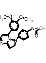 COc1ccc(C2=CC=NC3=CCN(c4ccc(NC(C)=O)cc4)N32)cc1OC